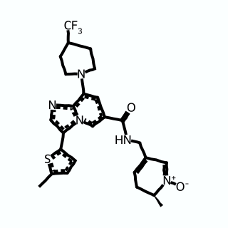 Cc1ccc(-c2cnc3c(N4CCC(C(F)(F)F)CC4)cc(C(=O)NCC4=CC[C@H](C)[N+]([O-])=C4)cn23)s1